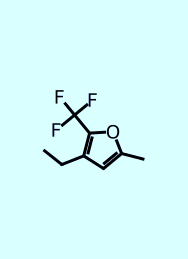 CCc1cc(C)oc1C(F)(F)F